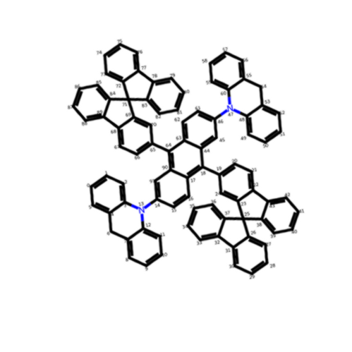 c1ccc2c(c1)Cc1ccccc1N2c1ccc2c(-c3ccc4c(c3)C3(c5ccccc5-c5ccccc53)c3ccccc3-4)c3cc(N4c5ccccc5Cc5ccccc54)ccc3c(-c3ccc4c(c3)C3(c5ccccc5-c5ccccc53)c3ccccc3-4)c2c1